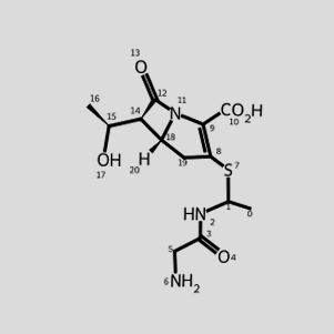 CC(NC(=O)CN)SC1=C(C(=O)O)N2C(=O)[C@H]([C@H](C)O)[C@H]2C1